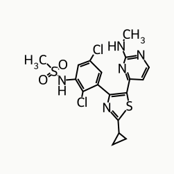 CNc1nccc(-c2sc(C3CC3)nc2-c2cc(Cl)cc(NS(C)(=O)=O)c2Cl)n1